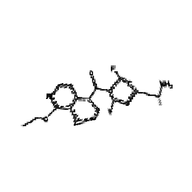 CCOc1nccc2c(C(=O)c3c(F)cc([C@@H](C)N)cc3F)cccc12